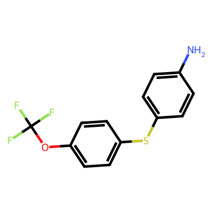 Nc1ccc(Sc2ccc(OC(F)(F)F)cc2)cc1